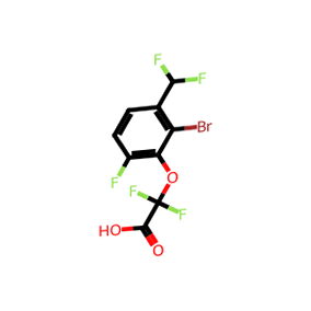 O=C(O)C(F)(F)Oc1c(F)ccc(C(F)F)c1Br